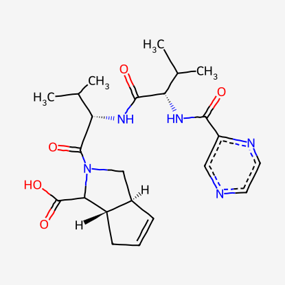 CC(C)[C@H](NC(=O)c1cnccn1)C(=O)N[C@H](C(=O)N1C[C@H]2C=CC[C@@H]2C1C(=O)O)C(C)C